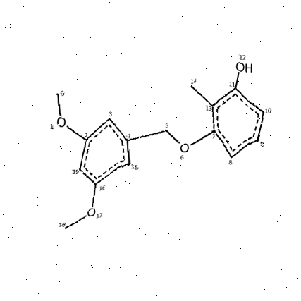 COc1cc(COc2cccc(O)c2C)cc(OC)c1